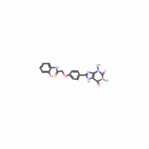 CCCn1c(=O)c2[nH]c(-c3ccc(OCC(=O)Nc4ccccc4C(C)=O)cc3)nc2n(CCC)c1=O